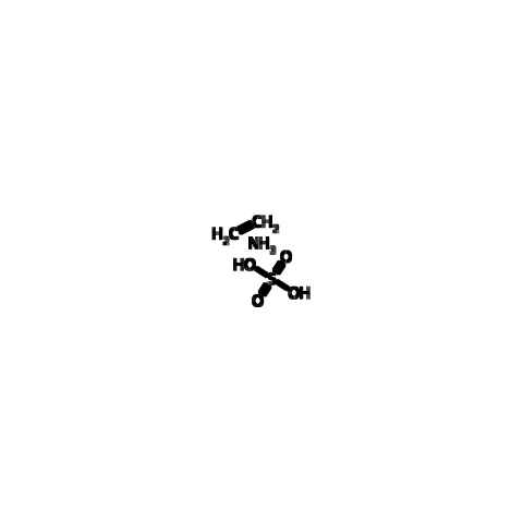 C=C.N.O=S(=O)(O)O